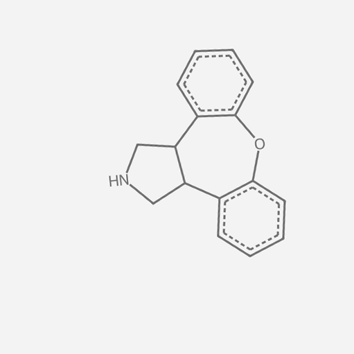 c1ccc2c(c1)Oc1ccccc1C1CNCC21